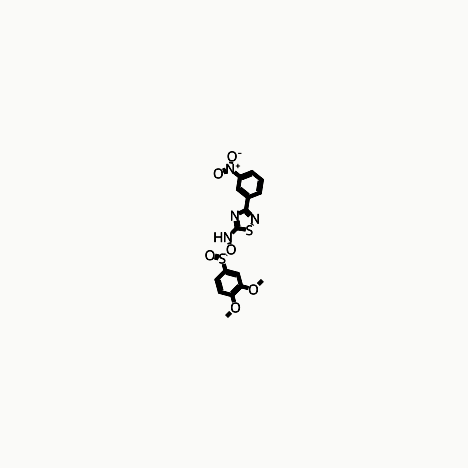 COc1ccc(S(=O)ONc2nc(-c3cccc([N+](=O)[O-])c3)ns2)cc1OC